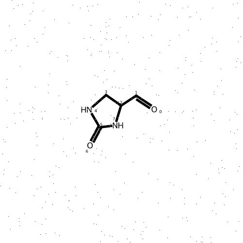 O=[C]C1CNC(=O)N1